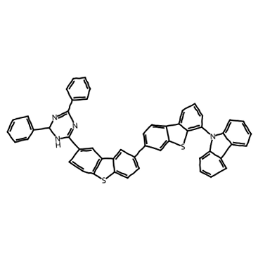 c1ccc(C2=NC(c3ccccc3)NC(c3ccc4sc5ccc(-c6ccc7c(c6)sc6c(-n8c9ccccc9c9ccccc98)cccc67)cc5c4c3)=N2)cc1